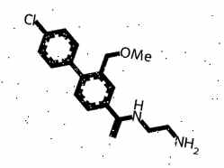 C=C(NCCN)c1ccc(-c2ccc(Cl)cc2)c(COC)c1